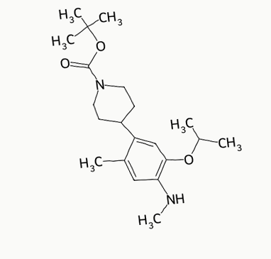 CNc1cc(C)c(C2CCN(C(=O)OC(C)(C)C)CC2)cc1OC(C)C